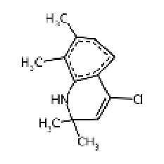 Cc1ccc2c(c1C)NC(C)(C)C=C2Cl